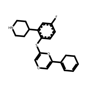 Fc1ccc(SC2=COC=C(C3=CC=CCC3)O2)c(C2CCNCC2)c1